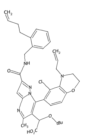 C=CCCc1ccccc1CNC(=O)c1cc2nc(C)c(C(OC(C)(C)C)C(=O)O)c(-c3ccc4c(c3Cl)N(CC=C)CCO4)n2n1